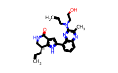 C=CC[C@H]1CNC(=O)c2cc(-c3cccc4nc(C)c(N(CC=C)CCO)nc34)[nH]c21